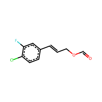 O=[C]OCC=Cc1ccc(Cl)c(F)c1